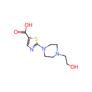 O=C(O)c1cnc(N2CCN(CCO)CC2)s1